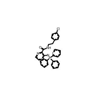 O=C(NCCc1ccc(Cl)cc1)c1nccnc1N=P(c1ccccc1)(c1ccccc1)c1ccccc1